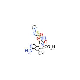 N#Cc1cc2c(N)nccc2cc1CC(C(=O)O)N1CCC(NS(=O)(=O)c2cnc(N3CCCC3)s2)C1=O